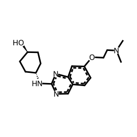 CN(C)CCOc1ccc2cnc(N[C@H]3CC[C@H](O)CC3)nc2c1